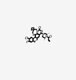 C=CC(=O)N1[C@H](C)CN(c2nc(=O)n3c4c(c(-c5cc(Cl)c(F)cc5F)c(C)cc24)SCC2(CCC2)C3)C[C@@H]1C